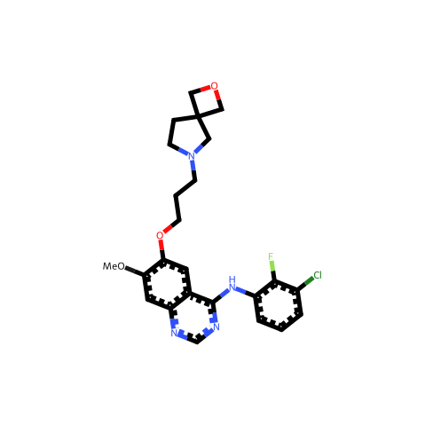 COc1cc2ncnc(Nc3cccc(Cl)c3F)c2cc1OCCCN1CCC2(COC2)C1